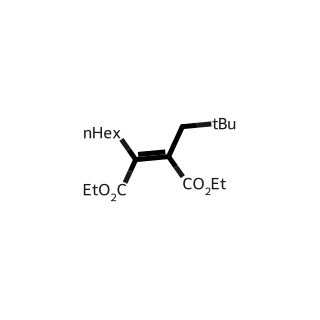 CCCCCC/C(C(=O)OCC)=C(\CC(C)(C)C)C(=O)OCC